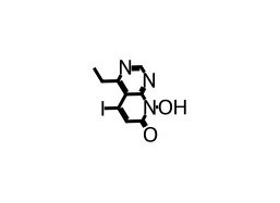 CCc1ncnc2c1c(I)cc(=O)n2O